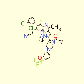 Cc1nc2c(F)c(-c3cccc(Cl)c3Cl)c(CCC#N)cc2c2c1cc(C1C3CC(CN(c4cccc(OC(F)(F)F)c4)C3)N1C(=O)C1CC1)n2C1C2CNC1C2